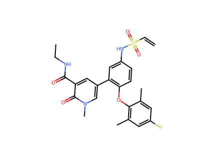 C=CS(=O)(=O)Nc1ccc(Oc2c(C)cc(F)cc2C)c(-c2cc(C(=O)NCC)c(=O)n(C)c2)c1